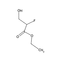 CCOC(=O)C(F)CO